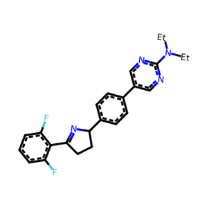 CCN(CC)c1ncc(-c2ccc(C3CCC(c4c(F)cccc4F)=N3)cc2)cn1